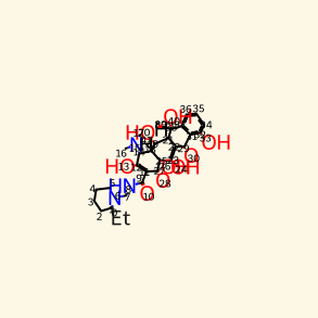 CCC1CCCCN1CNC(=O)C1=C(O)[C@@H](N(C)C)[C@@H]2[C@@H](O)[C@H]3C(=C(O)[C@]2(O)C1=O)C(=O)c1c(O)cccc1C3(C)O